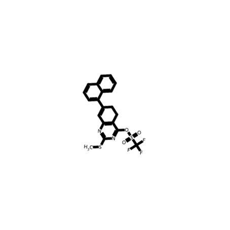 CSc1nc2c(c(OS(=O)(=O)C(F)(F)F)n1)CCC(c1cccc3ccccc13)=C2